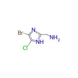 NCc1nc(Br)c(Cl)[nH]1